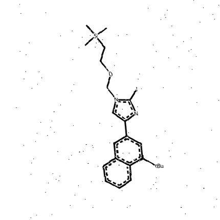 CC(C)(C)c1cc(-c2cn(COCC[Si](C)(C)C)c(I)n2)cc2ccccc12